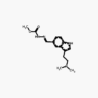 COC(=O)N/N=C/c1ccc2[nH]cc(CCN(C)C)c2c1